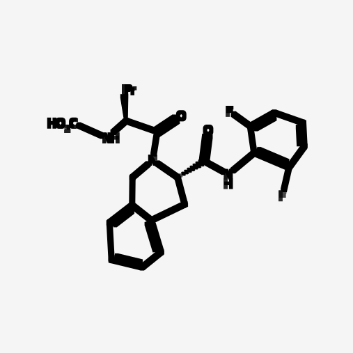 CC(C)[C@H](NC(=O)O)C(=O)N1Cc2ccccc2C[C@H]1C(=O)Nc1c(F)cccc1F